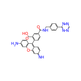 N=c1ccc2c(-c3ccc(C(=O)NCc4ccc(-c5nncnn5)cc4)cc3C(=O)O)c3ccc(N)cc3oc-2c1